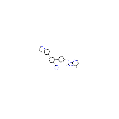 CCc1nc2c(C)cc(C)nc2n1Cc1ccc(-c2cc(-c3ccc4ncccc4c3)ccc2-c2nn[nH]n2)cc1